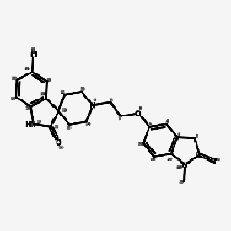 C=C1Cc2cc(OCCN3CCC4(CC3)C(=O)Nc3ccc(Cl)cc34)ccc2N1C